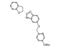 COc1ccc(COc2ccc3oc([C@H]4Cc5ccccc5O4)nc3c2)nc1